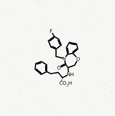 O=C(O)[C@H](CCc1ccccc1)NC1COc2ccccc2N(Cc2ccc(F)cc2)C1=O